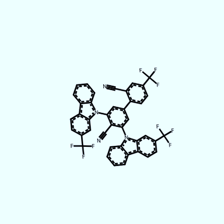 N#Cc1cc(C(F)(F)F)ccc1-c1cc(-n2c3ccccc3c3ccc(C(F)(F)F)cc32)c(C#N)c(-n2c3ccccc3c3ccc(C(F)(F)F)cc32)c1